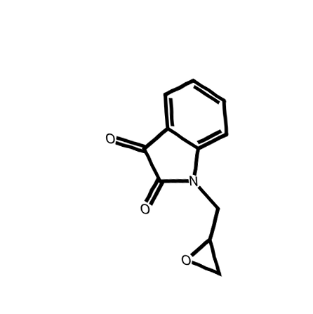 O=C1C(=O)N(CC2CO2)c2ccccc21